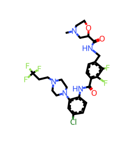 CN1CCOC(C(=O)NCc2ccc(C(=O)Nc3ccc(Cl)cc3N3CCN(CCC(F)(F)F)CC3)c(F)c2F)C1